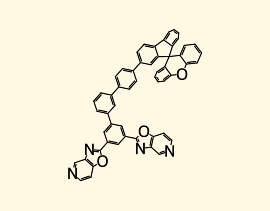 c1cc(-c2ccc(-c3ccc4c(c3)C3(c5ccccc5Oc5ccccc53)c3ccccc3-4)cc2)cc(-c2cc(-c3nc4cnccc4o3)cc(-c3nc4cnccc4o3)c2)c1